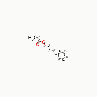 C=CC(=O)OCCCCCc1ccccc1